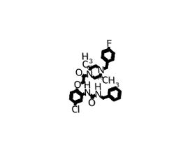 C[C@@H]1CN(C(=O)COc2ccc(Cl)cc2NC(=O)NCc2ccccc2)[C@@H](C)CN1Cc1ccc(F)cc1